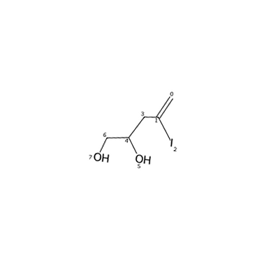 C=C(I)CC(O)CO